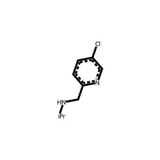 CC(C)NCc1ccc(Cl)cn1